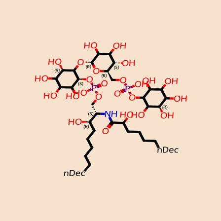 CCCCCCCCCCCCCCC[C@@H](O)[C@H](COP(=O)(O)O[C@H]1C(O)C(O)C(O)[C@@H](O)C1O[C@H]1O[C@H](COP(=O)(O)OC2C(O)C(O)C(O)[C@@H](O)C2O)[C@@H](O)C(O)C1O)NC(=O)C(O)CCCCCCCCCCCCCC